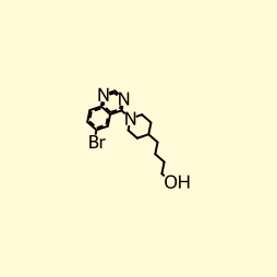 OCCCCC1CCN(c2ncnc3ccc(Br)cc23)CC1